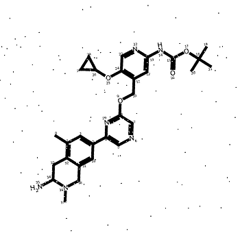 Cc1cc(-c2cncc(OCc3cc(NC(=O)OC(C)(C)C)ncc3OC3CC3)n2)cc2c1CC(N)N(C)C2